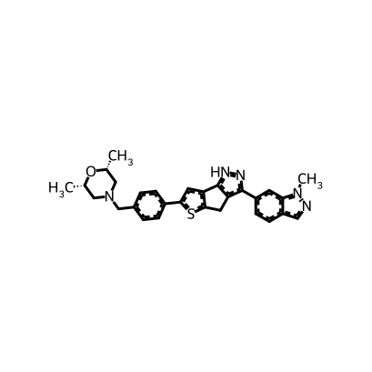 C[C@@H]1CN(Cc2ccc(-c3cc4c(s3)Cc3c(-c5ccc6cnn(C)c6c5)n[nH]c3-4)cc2)C[C@H](C)O1